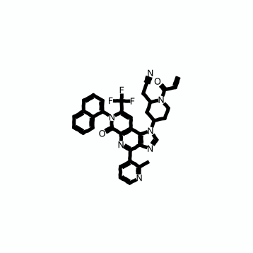 C=CC(=O)N1CCC(n2cnc3c(-c4cccnc4C)nc4c(=O)n(-c5cccc6ccccc56)c(C(F)(F)F)cc4c32)CC1CC#N